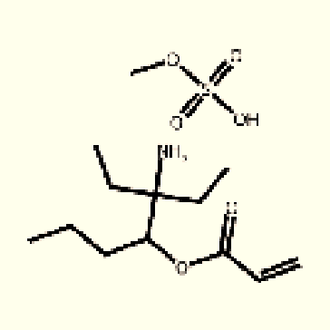 C=CC(=O)OC(CCC)C(N)(CC)CC.COS(=O)(=O)O